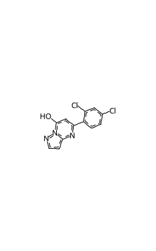 Oc1cc(-c2ccc(Cl)cc2Cl)nc2ccnn12